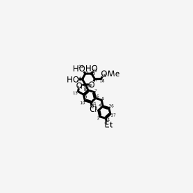 CCc1ccc(Cc2cc3c(cc2Cl)COC32OC(COC)C(O)C(O)C2O)cc1